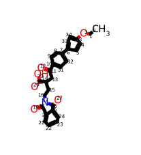 CCOc1ccc(-c2ccc(C(=O)CC(CCN3C(=O)c4ccccc4C3=O)C(=O)O)cc2)cc1